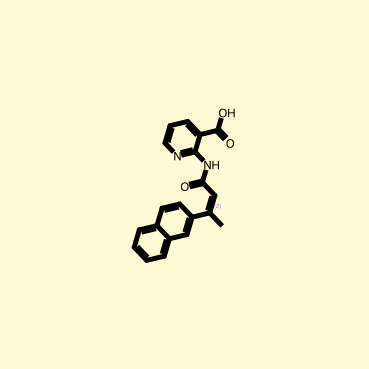 C/C(=C/C(=O)Nc1ncccc1C(=O)O)c1ccc2ccccc2c1